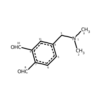 CN(C)Cc1ccc(C=O)c(C=O)c1